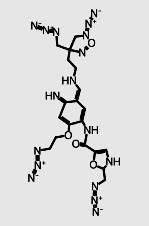 [N-]=[N+]=NCCOC1=CC(=N)/C(=C\NCCC(CN=[N+]=[N-])(CN=[N+]=[N-])N=O)C=C1NC(=O)C1=CNC(CN=[N+]=[N-])O1